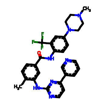 Cc1ccc(C(=O)Nc2ccc(N3CCN(C)CC3)cc2C(F)(F)F)cc1Nc1nccc(-c2cccnc2)n1